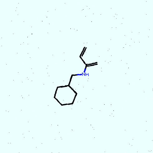 C=CC(=C)NCC1CCCCC1